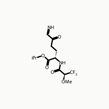 CO[C@@H](C(=O)N[C@@H](CCC(=O)C=N)C(=O)OC(C)C)C(F)(F)F